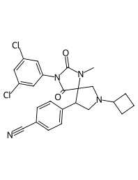 CN1C(=O)N(c2cc(Cl)cc(Cl)c2)C(=O)C12CN(C1CCC1)CC2c1ccc(C#N)cc1